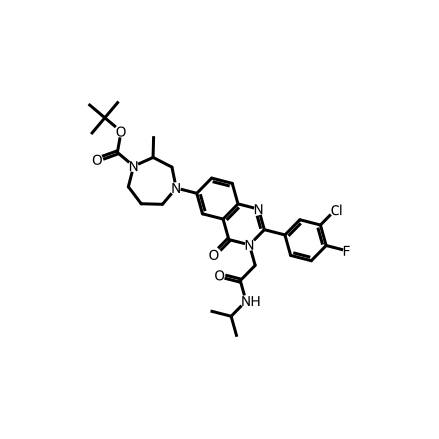 CC(C)NC(=O)Cn1c(-c2ccc(F)c(Cl)c2)nc2ccc(N3CCCN(C(=O)OC(C)(C)C)C(C)C3)cc2c1=O